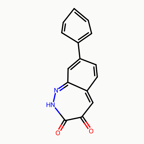 O=c1cc2ccc(-c3ccccc3)cc2n[nH]c1=O